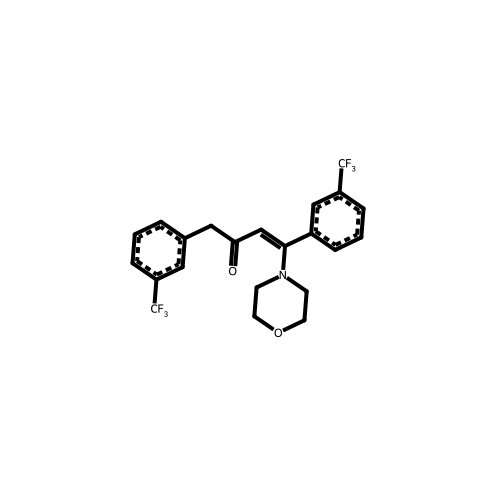 O=C(C=C(c1cccc(C(F)(F)F)c1)N1CCOCC1)Cc1cccc(C(F)(F)F)c1